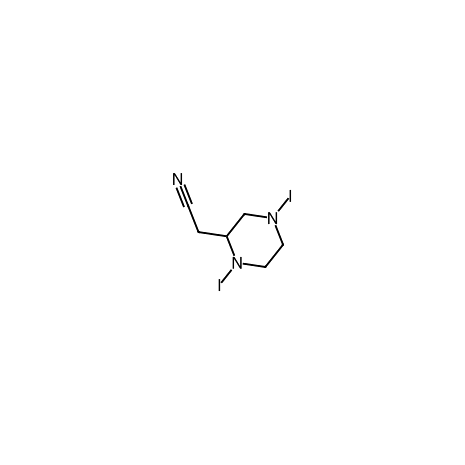 N#CCC1CN(I)CCN1I